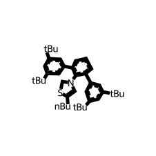 CCCCC1=CN(c2c(-c3cc(C(C)(C)C)cc(C(C)(C)C)c3)cccc2-c2cc(C(C)(C)C)cc(C(C)(C)C)c2)CS1